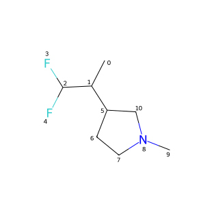 CC(C(F)F)C1CCN(C)C1